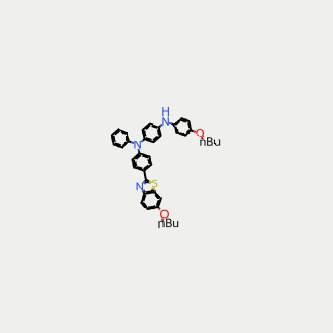 CCCCOc1ccc(Nc2ccc(N(c3ccccc3)c3ccc(-c4nc5ccc(OCCCC)cc5s4)cc3)cc2)cc1